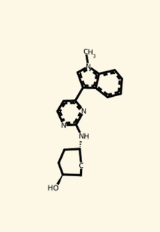 Cn1cc(-c2ccnc(N[C@H]3CC[C@H](O)CC3)n2)c2ccccc21